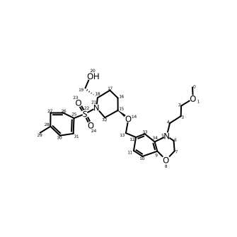 COCCCN1CCOc2ccc(CO[C@@H]3CC[C@@H](CO)N(S(=O)(=O)c4ccc(C)cc4)C3)cc21